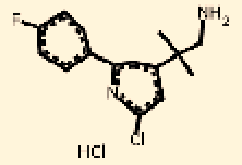 CC(C)(CN)c1cc(Cl)nc(-c2ccc(F)cc2)c1.Cl